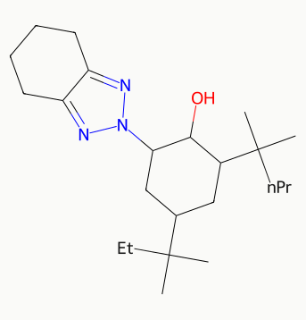 CCCC(C)(C)C1CC(C(C)(C)CC)CC(n2nc3c(n2)CCCC3)C1O